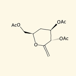 C=C1O[C@@H](COC(C)=O)C[C@@H](OC(C)=O)[C@@H]1OC(C)=O